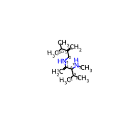 C=C(CNC(=C)C(NC)C(C)C)C(C)C